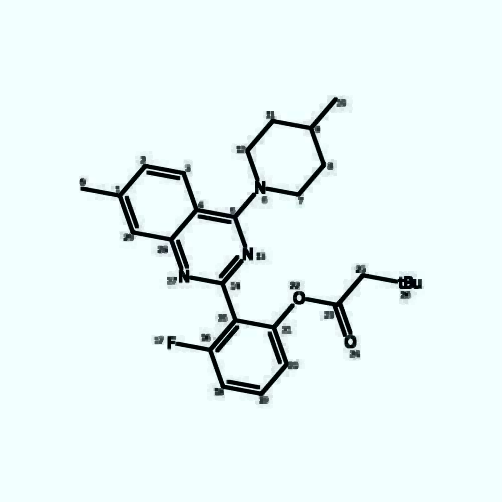 Cc1ccc2c(N3CCC(C)CC3)nc(-c3c(F)cccc3OC(=O)CC(C)(C)C)nc2c1